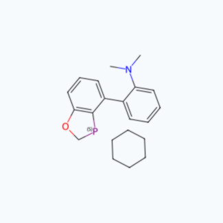 CN(C)c1ccccc1-c1cccc2c1[P@@](C1CCCCC1)CO2